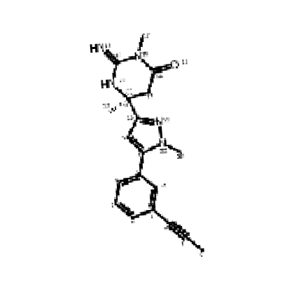 CC#Cc1cccc(-c2cc([C@]3(C)CC(=O)N(C)C(=N)N3)nn2C)c1